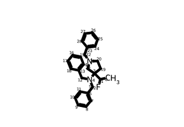 CC(F)C1(N(Cc2ccccc2)Cc2ccccc2)CCN(Cc2ccccc2)C1